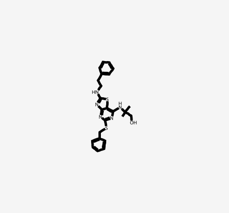 CC(C)(CO)Nc1nc(SCc2ccccc2)nc2nc(NCCc3ccccc3)sc12